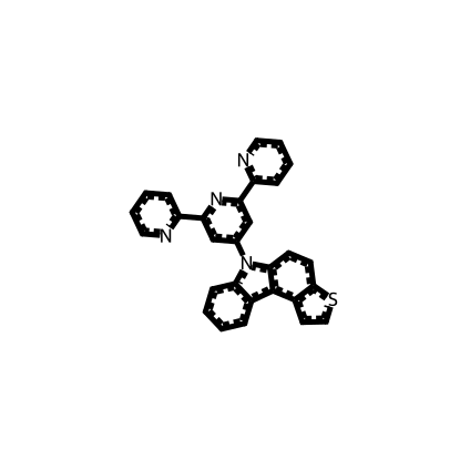 c1ccc(-c2cc(-n3c4ccccc4c4c5ccsc5ccc43)cc(-c3ccccn3)n2)nc1